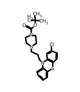 CC(C)(C)OC(=O)N1CCN(CCCN2c3ccccc3Sc3ccc(Cl)cc32)CC1